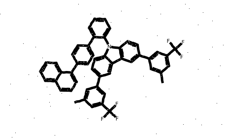 Cc1cc(-c2ccc3c(c2)c2cc(-c4cc(C)cc(C(F)(F)F)c4)ccc2n3-c2ccccc2-c2ccc(-c3cccc4ccccc34)cc2)cc(C(F)(F)F)c1